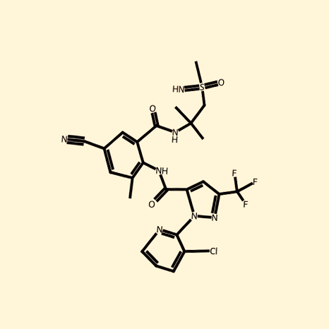 Cc1cc(C#N)cc(C(=O)NC(C)(C)CS(C)(=N)=O)c1NC(=O)c1cc(C(F)(F)F)nn1-c1ncccc1Cl